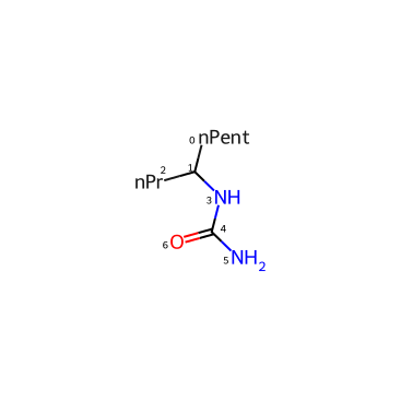 CCCCCC(CCC)NC(N)=O